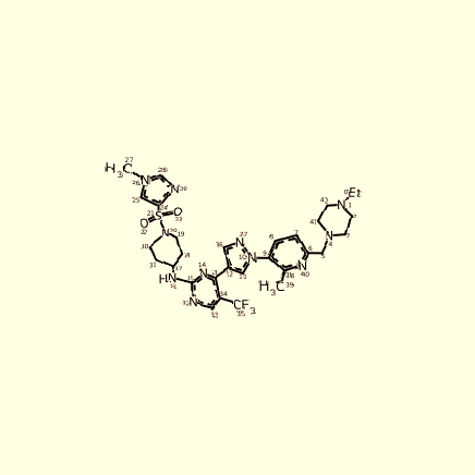 CCN1CCN(Cc2ccc(-n3cc(-c4nc(NC5CCN(S(=O)(=O)c6cn(C)cn6)CC5)ncc4C(F)(F)F)cn3)c(C)n2)CC1